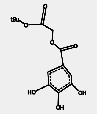 CC(C)(C)OC(=O)COC(=O)c1cc(O)c(O)c(O)c1